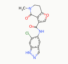 CN1CCc2occ(C(=O)Nc3cc4cn[nH]c4cc3Cl)c2C1=O